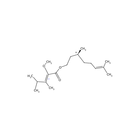 CO/C(C(=O)OCC[C@@H](C)CCC=C(C)C)=C(/C)C(C)C